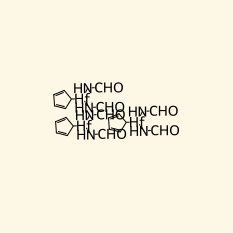 O=C[NH][Hf]([NH]C=O)[CH]1C=CC=C1.O=C[NH][Hf]([NH]C=O)[CH]1C=CC=C1.O=C[NH][Hf]([NH]C=O)[CH]1C=CC=C1